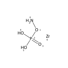 NOP(=O)(O)O.[Zr]